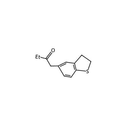 CCC(=O)Cc1ccc2c(c1)CCS2